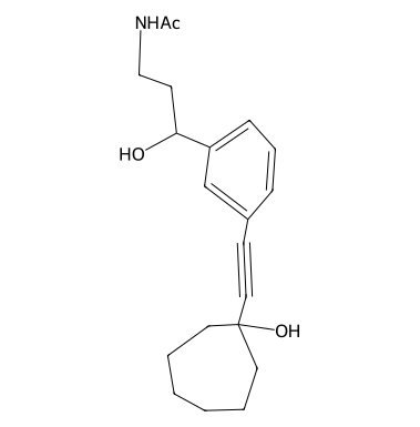 CC(=O)NCCC(O)c1cccc(C#CC2(O)CCCCCC2)c1